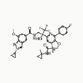 COc1cc(C(=O)NCC(O)(c2cc3c(c(-c4ccc(F)cc4)n2)OC[C@]3(C)C(=O)NC2(C)CC2)C(F)(F)F)cc2cn(C3CC3)nc12